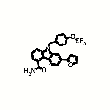 NC(=O)c1cccc2c1c1[c]cc(-c3ccco3)cc1n2Cc1ccc(OC(F)(F)F)cc1